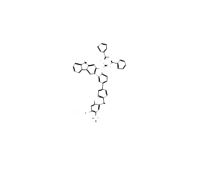 COc1cc(O)c(C(=O)c2ccc(-c3ccc4c(c3)c3cc5c(cc3n4-c3nc(-c4ccccc4)nc(-c4ccccc4)n3)C(C)(C)c3ccccc3-5)cc2)cc1S(=O)(=O)O